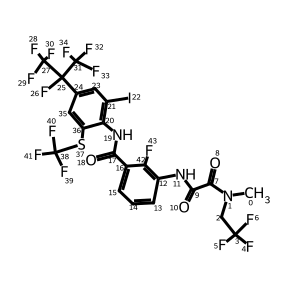 CN(CC(F)(F)F)C(=O)C(=O)Nc1cccc(C(=O)Nc2c(I)cc(C(F)(C(F)(F)F)C(F)(F)F)cc2SC(F)(F)F)c1F